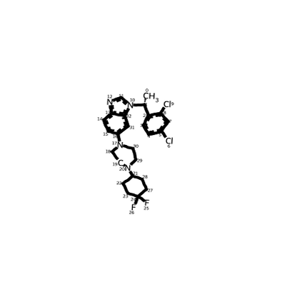 C[C@H](c1ccc(Cl)cc1Cl)n1cnc2ccc(N3CCN(C4CCC(F)(F)CC4)CC3)cc21